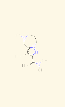 C=C(c1nn2c(c1C)CN(C(C)C)CCC2)N(C)C